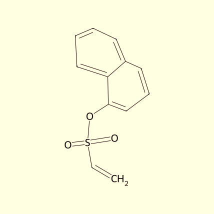 C=CS(=O)(=O)Oc1cccc2ccccc12